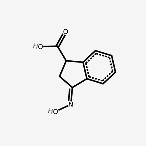 O=C(O)C1C/C(=N\O)c2ccccc21